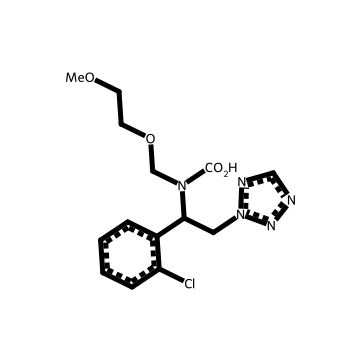 COCCOCN(C(=O)O)C(Cn1ncnn1)c1ccccc1Cl